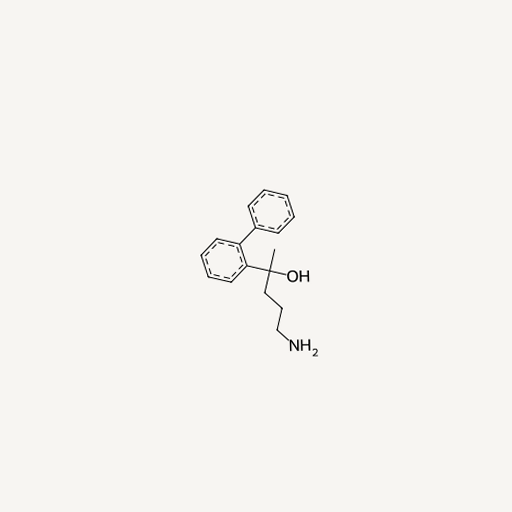 CC(O)(CCCN)c1ccccc1-c1ccccc1